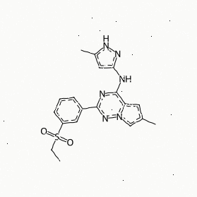 CCS(=O)(=O)c1cccc(-c2nc(Nc3cc(C)[nH]n3)c3cc(C)cn3n2)c1